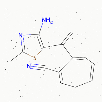 C=C(C1=CC=CCC=C1C#N)c1sc(C)nc1N